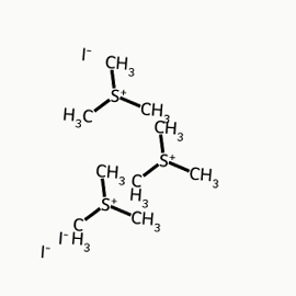 C[S+](C)C.C[S+](C)C.C[S+](C)C.[I-].[I-].[I-]